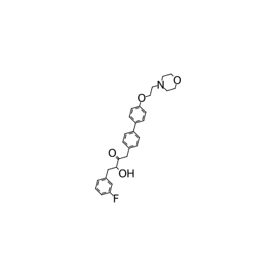 O=C(Cc1ccc(-c2ccc(OCCN3CCOCC3)cc2)cc1)C(O)Cc1cccc(F)c1